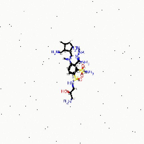 CC1CCC(CN(C)c2ccc([S+]([O-])NCC(O)CN)c(S(N)(=O)=O)c2/C(N)=N/NN)C1CN